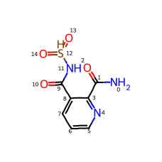 NC(=O)c1ncccc1C(=O)N[SH](=O)=O